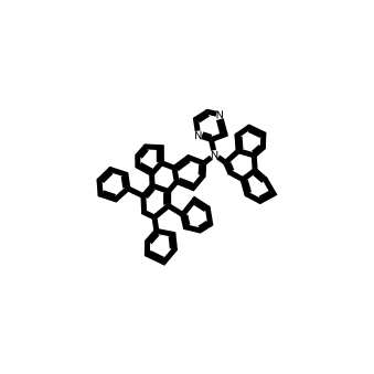 c1ccc(C2=c3c(c4ccc(N(c5cnccn5)c5cc6ccccc6c6ccccc56)cc4c4ccccc34)=C(c3ccccc3)C(c3ccccc3)C2)cc1